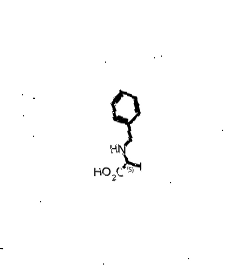 O=C(O)[C@H](I)NCc1ccccc1